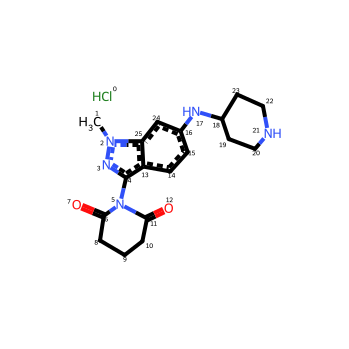 Cl.Cn1nc(N2C(=O)CCCC2=O)c2ccc(NC3CCNCC3)cc21